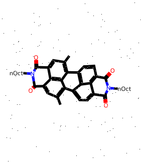 CCCCCCCCN1C(=O)c2ccc3c4c(C)cc5c6c(cc(C)c(c7ccc(c2c37)C1=O)c64)C(=O)N(CCCCCCCC)C5=O